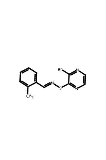 Cc1ccccc1/C=N/Sc1nccnc1Br